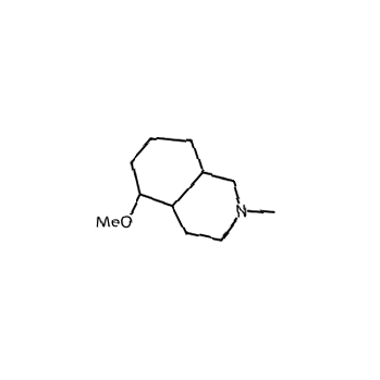 COC1CCCC2CN(C)CCC21